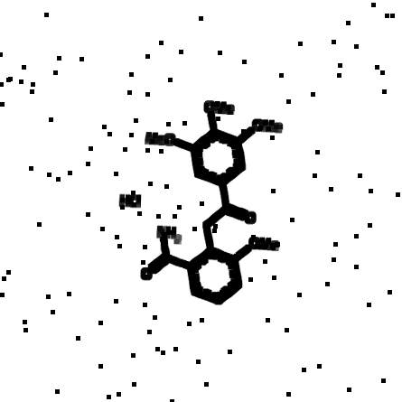 COc1cccc(C(N)=O)c1CC(=O)c1cc(OC)c(OC)c(OC)c1.Cl